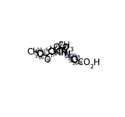 CC(C)(Oc1ccc(C(=O)c2ccc(Cl)cc2)cc1)C(=O)N/N=C/c1ccc(C(=O)O)cc1